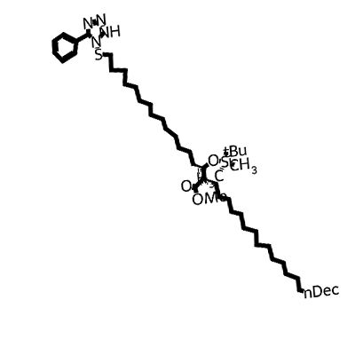 CCCCCCCCCCCCCCCCCCCCCCCC[C@@H](C(=O)OC)[C@@H](CCCCCCCCCCCCCCSN1NN=NC1c1ccccc1)O[Si](C)(C)C(C)(C)C